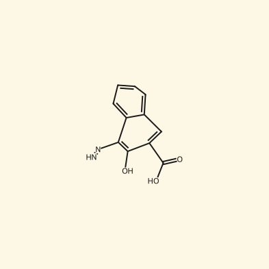 N=Nc1c(O)c(C(=O)O)cc2ccccc12